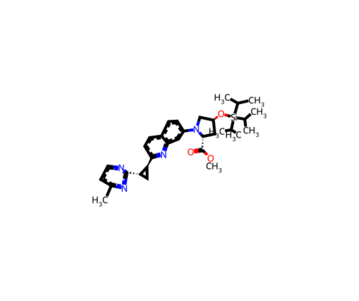 COC(=O)[C@H]1C[C@H](O[Si](C(C)C)(C(C)C)C(C)C)CN1c1ccc2ccc([C@H]3C[C@@H]3c3nccc(C)n3)nc2c1